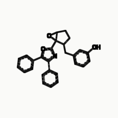 Oc1cccc(CC2CCC3OC23c2nc(-c3ccccc3)c(-c3ccccc3)o2)c1